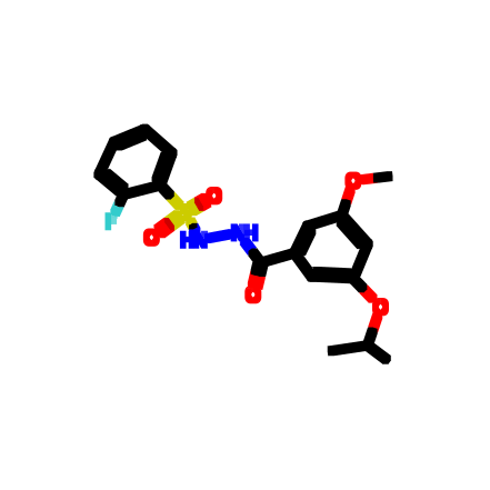 COc1cc(OC(C)C)cc(C(=O)NNS(=O)(=O)c2ccccc2F)c1